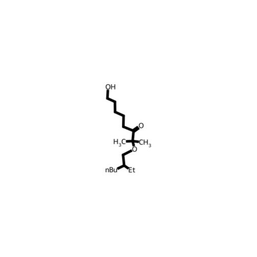 CCCCC(CC)COC(C)(C)C(=O)CCCCCO